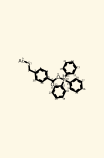 CC(=O)SCc1ccc(C(=O)O[PH](c2ccccc2)(c2ccccc2)c2ccccc2)cc1